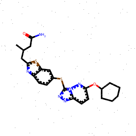 CC(CC(N)=O)Cc1nc2ccc(Sc3nnc4ccc(OC5CCCCC5)nn34)cc2s1